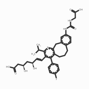 CC(C)c1nc2c(c(-c3ccc(F)cc3)c1/C=C/[C@@H](O)C[C@@H](O)CC(=O)O)CCCc1ccc(NC(=O)NCC(=O)O)cc1C2